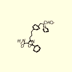 NC(=O)c1oc(-c2ccccc2)nc1CCCc1ccc(CC([C]=O)n2cccc2)cc1